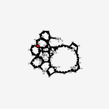 Nc1ccccc1-c1c(-c2ccccc2N)c2c(-c3ccccc3N)c3nc(cc4ccc(cc5nc(cc1n2-c1ccccc1N)C=C5)[nH]4)C=C3